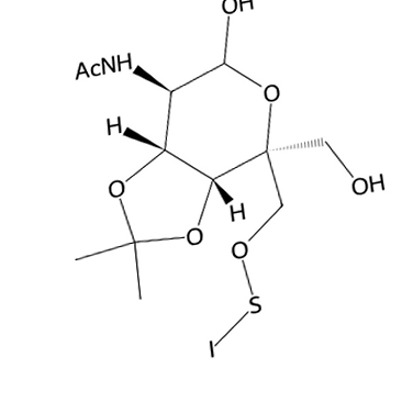 CC(=O)N[C@H]1C(O)O[C@@](CO)(COSI)[C@@H]2OC(C)(C)O[C@@H]21